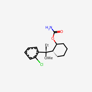 CC[C@@](OC)(c1ccccc1Cl)[C@H]1CCCCC1OC(N)=O